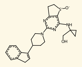 [O-][S+]1CCc2nc(N3CCC(C4=CCc5ccccc54)CC3)nc(NC3(CO)CC3)c21